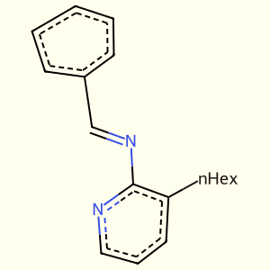 CCCCCCc1cccnc1N=Cc1ccccc1